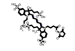 COCC[N+]1=C(/C=C/C=C/C=C2/N(CCCC(=O)ON3C(=O)CCC3=O)c3ccc(S(=O)(=O)O)cc3C2(C)CCCS(=O)(=O)O)C(C)(CCCS(=O)(=O)O)c2cc(S(=O)(=O)O)ccc21